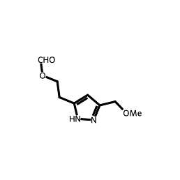 COCc1cc(CCOC=O)[nH]n1